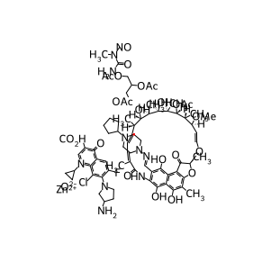 CC(=O)OCC(COC(C)=O)OC(C)=O.CN(N=O)C(N)=O.CO[C@H]1/C=C/O[C@@]2(C)Oc3c(C)c(O)c4c(O)c(c(/C=N/N5CCN(C6CCCC6)CC5)c(O)c4c3C2=O)NC(=O)/C(C)=C\C=C\[C@H](C)[C@H](O)[C@@H](C)[C@@H](O)[C@@H](C)[C@H](OC(C)=O)[C@@H]1C.NC1CCN(c2c(F)cc3c(=O)c(C(=O)O)cn(C4CC4)c3c2Cl)C1.[O-2].[Zn+2]